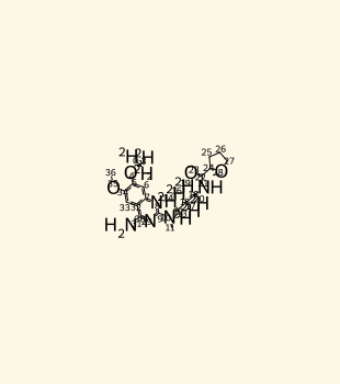 [2H]C([2H])([2H])Oc1cc2nc(N(C)C([2H])([2H])C([2H])([2H])C([2H])([2H])NC(=O)C3CCCO3)nc(N)c2cc1OC